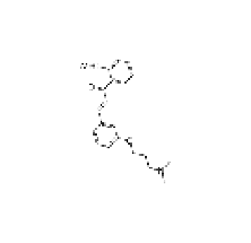 COc1ccccc1C(=O)C=Cc1cccc(OCCCN(C)C)c1